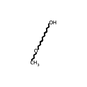 CCCCCOCCC/C=C/CC/C=C/CCCO